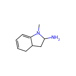 CN1C2=CC=CCC2CC1N